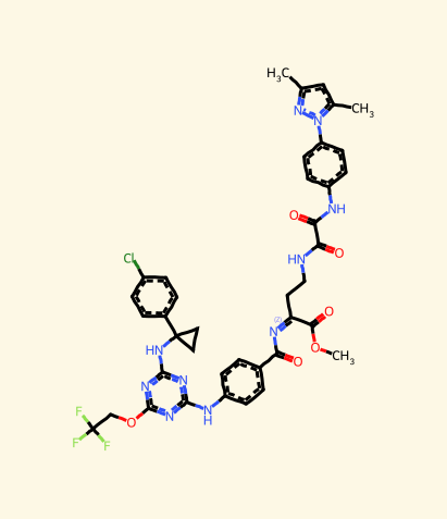 COC(=O)/C(CCNC(=O)C(=O)Nc1ccc(-n2nc(C)cc2C)cc1)=N\C(=O)c1ccc(Nc2nc(NC3(c4ccc(Cl)cc4)CC3)nc(OCC(F)(F)F)n2)cc1